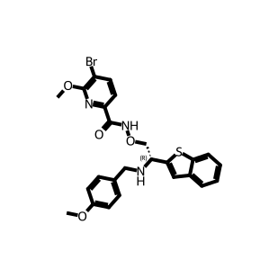 COc1ccc(CN[C@H](CONC(=O)c2ccc(Br)c(OC)n2)c2cc3ccccc3s2)cc1